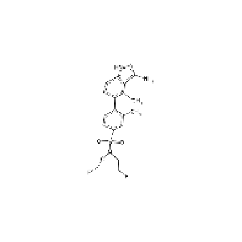 Cc1cc(S(=O)(=O)N(CCF)CCF)ccc1-c1ccc2[nH]nc(N)c2c1C